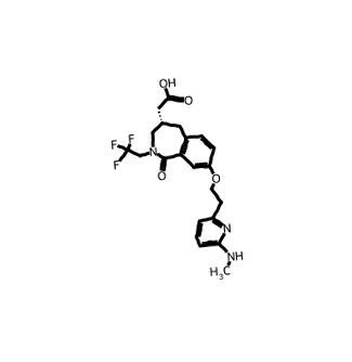 CNc1cccc(CCOc2ccc3c(c2)C(=O)N(CC(F)(F)F)C[C@H](CC(=O)O)C3)n1